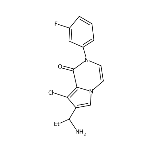 CCC(N)c1cn2ccn(-c3cccc(F)c3)c(=O)c2c1Cl